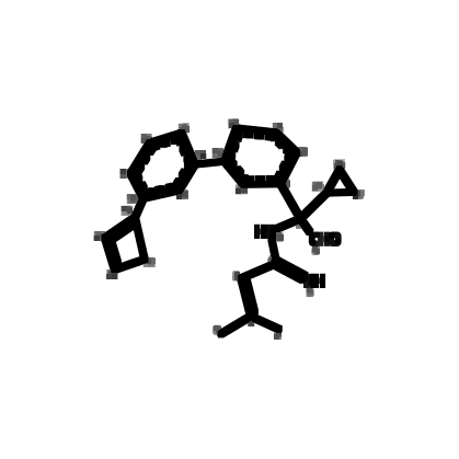 CC(C)=CC(=N)NC(C=O)(c1cccc(-c2cccc(C3=C=CC3)c2)c1)C1CC1